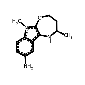 CC1CCOc2c(c3cc(N)ccc3n2C)N1